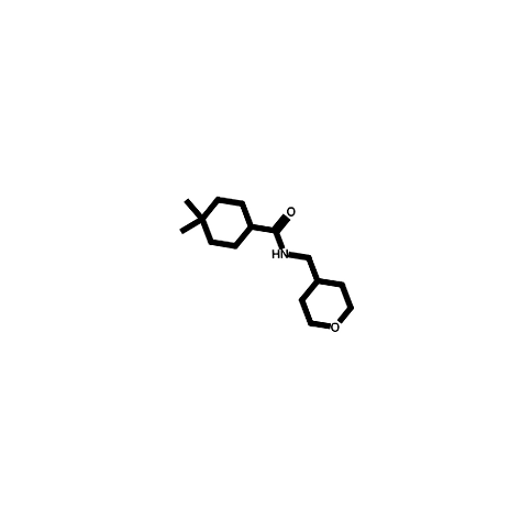 CC1(C)CCC(C(=O)NCC2CCOCC2)CC1